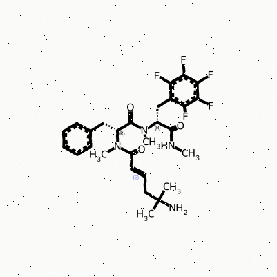 CNC(=O)[C@@H](Cc1c(F)c(F)c(F)c(F)c1F)N(C)C(=O)[C@@H](Cc1ccccc1)N(C)C(=O)/C=C/CC(C)(C)N